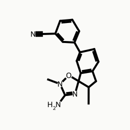 CC1Cc2ccc(-c3cccc(C#N)c3)cc2C12N=C(N)N(C)O2